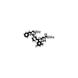 CNC[C@H](CC1CCCCC1)NC(=O)N1CCC[C@@H]([C@@H](OCCNC(=O)OC)c2cc(F)cc(F)c2O)C1